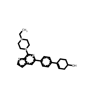 CCN1CCN(c2nc(-c3ccc(C4=CCC(O)CC4)cc3)cc3ccsc23)CC1